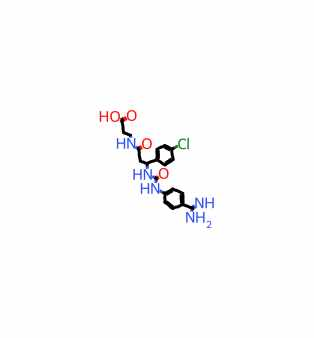 N=C(N)c1ccc(NC(=O)NC(CC(=O)NCCC(=O)O)c2ccc(Cl)cc2)cc1